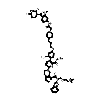 Cn1nc(C2CCC(=O)NC2=O)c2ccc(NC(=O)CN3CCC(CCCOc4ccc(-c5ccc(N6CCc7ccnc(C(=O)N(COCC[Si](C)(C)C)c8nc9ccccc9s8)c7C6)nc5C(=O)OC(C)(C)C)c(C(F)(F)F)c4)CC3)cc21